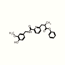 COc1cc(CNC(=O)c2cccc(CC(C)C(=O)Oc3ccccc3)n2)ccc1O